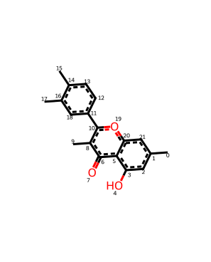 Cc1cc(O)c2c(=O)c(C)c(-c3ccc(C)c(C)c3)oc2c1